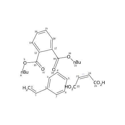 C=Cc1ccccc1.CCCCOC(=O)c1ccccc1C(=O)OCCCC.O=C(O)/C=C\C(=O)O